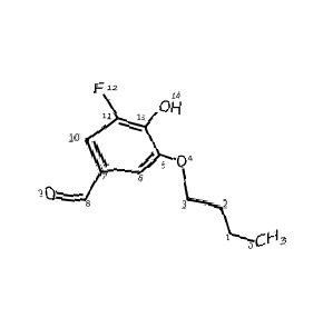 CCCCOc1cc(C=O)cc(F)c1O